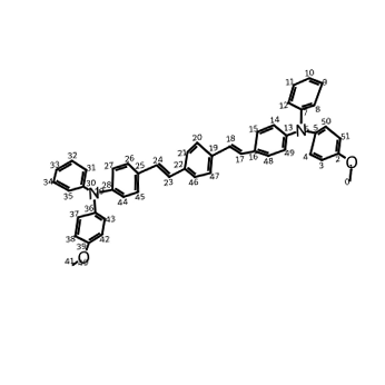 COc1ccc(N(c2ccccc2)c2ccc(C=Cc3ccc(C=Cc4ccc(N(c5ccccc5)c5ccc(OC)cc5)cc4)cc3)cc2)cc1